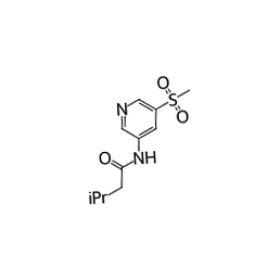 CC(C)CC(=O)Nc1cncc(S(C)(=O)=O)c1